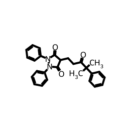 CC(C)(C(=O)CCC1C(=O)N(c2ccccc2)N(c2ccccc2)C1=O)c1ccccc1